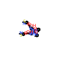 Cc1nc2cc(OC[C@@H](O)CN3CCN(C(C(=O)Nc4c(C)cccc4C)C(C(=O)Nc4c(C)cccc4C)N4CCN(C[C@H](O)COc5ccc6sc(C)nc6c5)C(C)(C)C4)C[C@@H]3C)ccc2s1